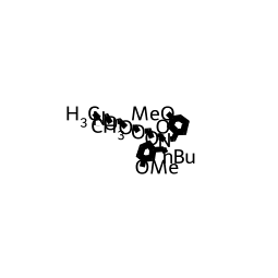 CCCCC(c1cccc(OC)c1)N(Cc1cccc(OC)c1)C(=O)OCOCOCOCN(C)C